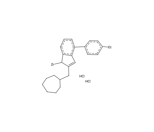 CCc1ccc(-c2cccc3c2C=C(CC2CCCCCC2)[CH]3[Zr])cc1.Cl.Cl